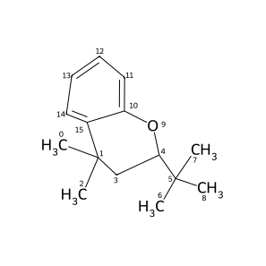 CC1(C)CC(C(C)(C)C)Oc2ccccc21